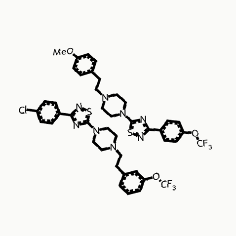 COc1ccc(CCN2CCN(c3nc(-c4ccc(OC(F)(F)F)cc4)ns3)CC2)cc1.FC(F)(F)Oc1cccc(CCN2CCN(c3nc(-c4ccc(Cl)cc4)ns3)CC2)c1